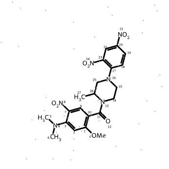 COc1cc(N(C)C)c([N+](=O)[O-])cc1C(=O)N1CCN(c2ccc([N+](=O)[O-])cc2[N+](=O)[O-])CC1C